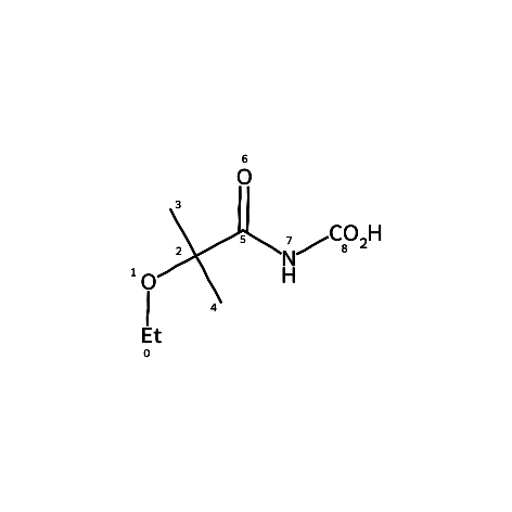 CCOC(C)(C)C(=O)NC(=O)O